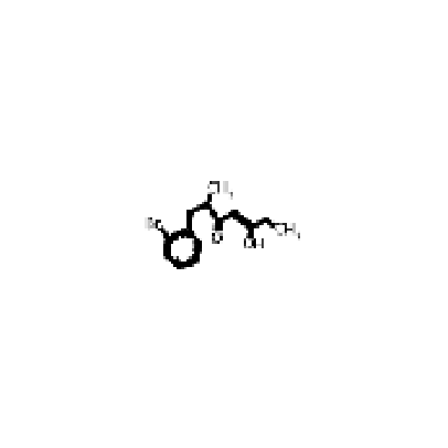 CC/C(O)=C/C(=O)C(C)Cc1ccccc1Br